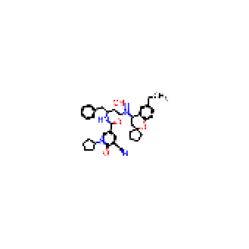 CCc1ccc2c(c1)C(NC[C@@H](O)[C@H](Cc1ccccc1)NC(=O)c1cc(C#N)c(=O)n(C3CCCC3)c1)CC1(CCCC1)O2